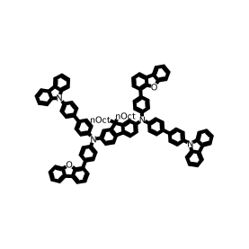 CCCCCCCCC1(CCCCCCCC)c2cc(N(c3ccc(-c4ccc(N5c6ccccc6C6C=CC=CC65)cc4)cc3)c3ccc(-c4cccc5c4oc4ccccc45)cc3)ccc2-c2ccc(N(c3ccc(-c4ccc(-n5c6ccccc6c6ccccc65)cc4)cc3)c3ccc(-c4cccc5c4oc4ccccc45)cc3)cc21